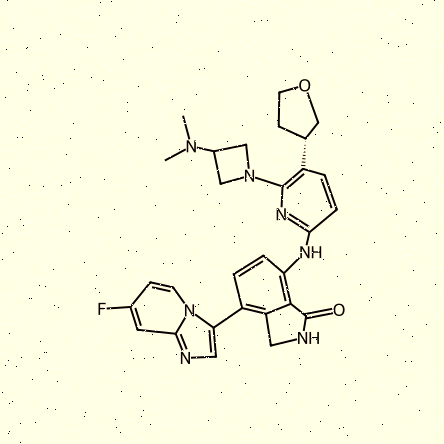 CN(C)C1CN(c2nc(Nc3ccc(-c4cnc5cc(F)ccn45)c4c3C(=O)NC4)ccc2[C@@H]2CCOC2)C1